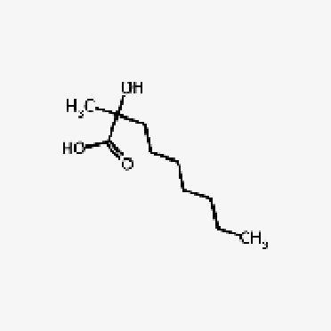 CCCCCCCC(C)(O)C(=O)O